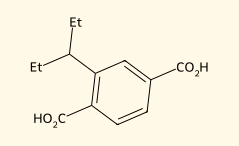 CCC(CC)c1cc(C(=O)O)ccc1C(=O)O